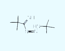 CC(C)(C)N/N=N\C(=N)C(C)(C)C